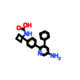 Nc1cnc(-c2ccc(C3(NC(=O)O)CCC3)cc2)c(-c2ccccc2)c1